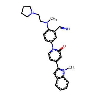 CN(CCN1CCCC1)c1ccc(-n2ccc(-c3cc4ccccc4n3C)cc2=O)cc1C=N